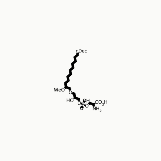 CCCCCCCCCCCCCCCCCCCCC(COC[C@@H](O)COP(=O)(O)OC[C@H](N)C(=O)O)OC